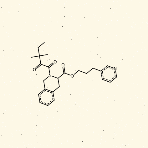 CCC(C)(C)C(=O)C(=O)N1Cc2ccccc2CC1C(=O)OCCCc1cccnc1